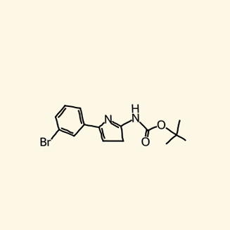 CC(C)(C)OC(=O)NC1=NC(c2cccc(Br)c2)=CC1